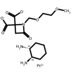 COCCOCN1C(=O)CC1(C(=O)[O-])C(=O)[O-].N[C@@H]1CCCC[C@H]1N.[Pt+2]